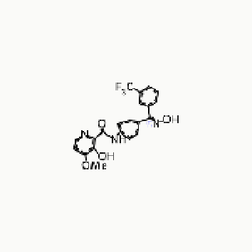 COc1ccnc(C(=O)Nc2ccc(/C(=N/O)c3cccc(C(F)(F)F)c3)cc2)c1O